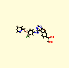 OCC(O)c1ccc2c(c1)sc1ncnc(Nc3ccc(OCc4ccccn4)c(Cl)c3)c12